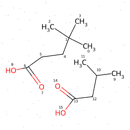 CC(C)(C)CCC(=O)O.CC(C)CC(=O)O